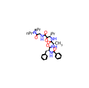 CCCN(CCC)C(=O)CNC(=O)C(=O)[C@@H](NC(=O)[C@H](C)NC(=O)[C@H](Cc1ccccc1)NC(=O)c1ccccc1)C(C)C